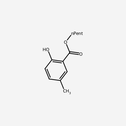 CCCCCOC(=O)c1cc(C)ccc1O